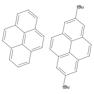 CC(C)(C)c1cc2ccc3cc(C(C)(C)C)cc4ccc(c1)c2c34.c1cc2ccc3cccc4ccc(c1)c2c34